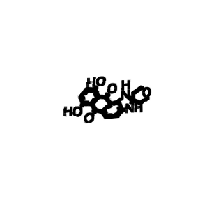 O=C1c2ccc3c(c2C(=O)c2c(O)ccc(O)c21)NC1(CCOCC1)N3